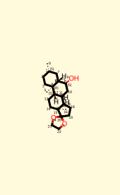 C[C@H]1CC[C@@]2(C)[C@H](C1)[C@@H](O)C[C@@H]1[C@@H]2CC[C@@]2(C)[C@H]1CCC21OCCO1